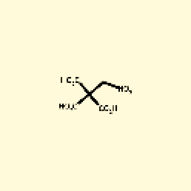 O=C(O)C(C[N+](=O)[O-])(C(=O)O)C(=O)O